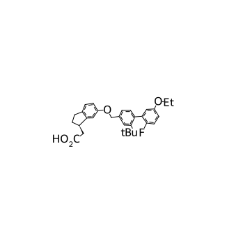 CCOc1ccc(F)c(-c2ccc(COc3ccc4c(c3)[C@@H](CC(=O)O)CC4)cc2C(C)(C)C)c1